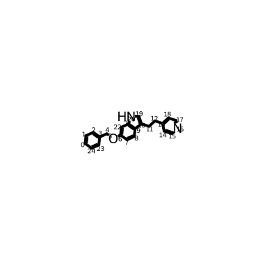 c1ccc(COc2ccc3c(CCc4ccncc4)c[nH]c3c2)cc1